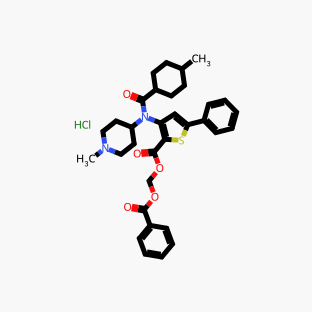 CC1CCC(C(=O)N(c2cc(-c3ccccc3)sc2C(=O)OCOC(=O)c2ccccc2)C2CCN(C)CC2)CC1.Cl